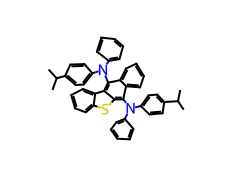 CC(C)c1ccc(N(c2ccccc2)c2c3ccccc3c(N(c3ccccc3)c3ccc(C(C)C)cc3)c3c2sc2ccccc23)cc1